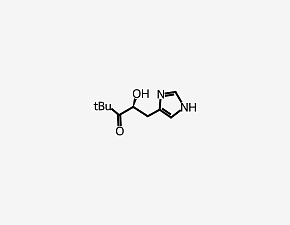 CC(C)(C)C(=O)[C@@H](O)Cc1c[nH]cn1